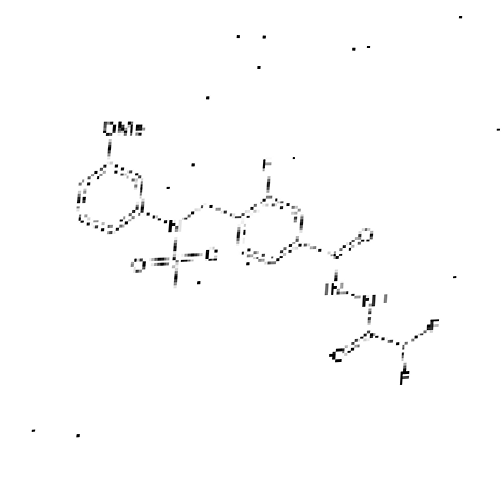 COc1cccc(N(Cc2ccc(C(=O)NNC(=O)C(F)F)cc2F)S(C)(=O)=O)c1